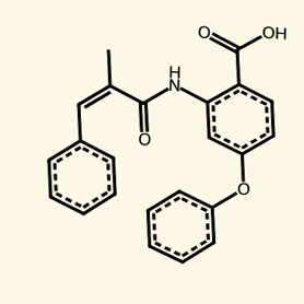 CC(=Cc1ccccc1)C(=O)Nc1cc(Oc2ccccc2)ccc1C(=O)O